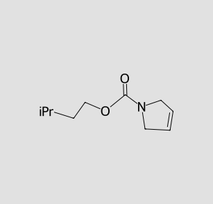 CC(C)CCOC(=O)N1CC=CC1